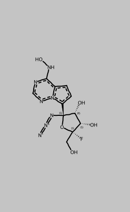 [N-]=[N+]=N[C@@]1(c2ccc3c(NO)ncnn23)O[C@](F)(CO)[C@@H](O)[C@H]1O